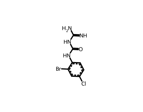 N=C(N)NC(=O)Nc1ccc(Cl)cc1Br